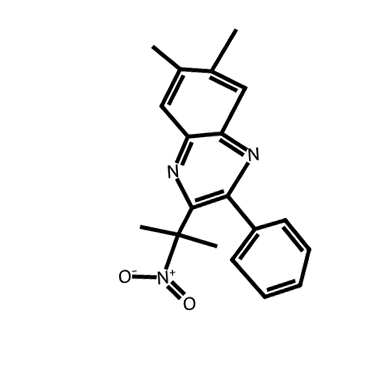 Cc1cc2nc(-c3ccccc3)c(C(C)(C)[N+](=O)[O-])nc2cc1C